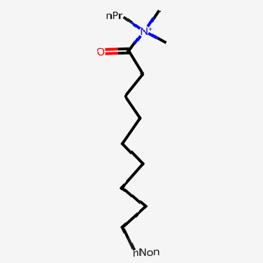 CCCCCCCCCCCCCCCCCC(=O)[N+](C)(C)CCC